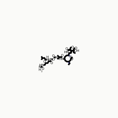 C/C=C1\CC[C@@H](NC(=O)C2CN(C(=O)ONC(=O)C(CCCNC(N)=O)NC(=O)CC(C)C)C2)CC/C(c2cc3c(c(=O)[nH]2)COC(=O)[C@@]3(O)CC)=N\C(C)(F)C1